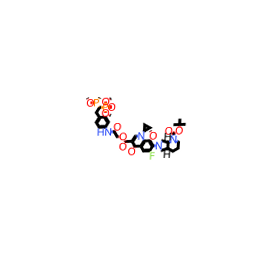 COc1c(N2C[C@@H]3CCCN(C(=O)OC(C)(C)C)[C@@H]3C2)c(F)cc2c(=O)c(C(=O)OCC(=O)Nc3ccc(CC(P(C)OC)P(=O)(OC)OC)cc3)cn(C3CC3)c12